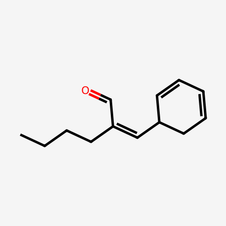 CCCCC(C=O)=CC1C=CC=CC1